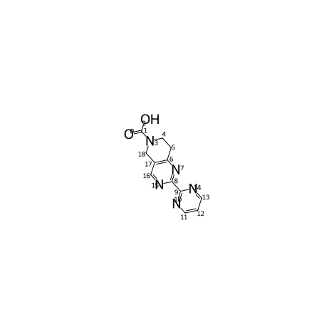 O=C(O)N1CCc2nc(-c3ncccn3)ncc2C1